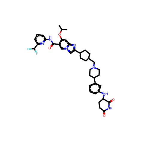 CC(C)Oc1cc2nc(C3CCC(CN4CCC(c5cccc(NC6CCC(=O)NC6=O)c5)CC4)CC3)cn2cc1C(=O)Nc1cccc(C(F)F)n1